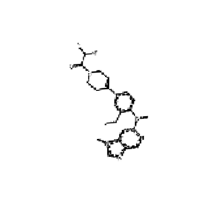 CCc1cc(C2=CCN(C(=O)C(F)F)CC2)ccc1N(C)c1cc2c(cn1)ncn2C